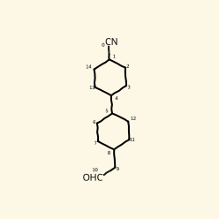 N#CC1CCC(C2CCC(CC=O)CC2)CC1